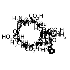 CCC(C)C1NC(=O)C(CCC(=O)O)NC(=O)C(CC(N)=O)NC(=O)CNC(=O)C(CC(=O)O)NC(=O)C(C)NC(=O)C(CC(=O)O)NC(=O)C(C)NC(=O)CNC(=O)C(NC(=O)C(CC(=O)O)NC(=O)C(CC(N)=O)NC(=O)C(Cc2c[nH]c3ccccc23)NC=O)C(C)OC1=O